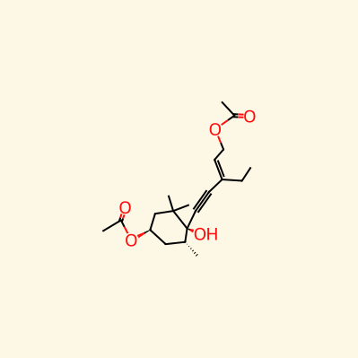 CCC(C#C[C@]1(O)[C@H](C)C[C@@H](OC(C)=O)CC1(C)C)=CCOC(C)=O